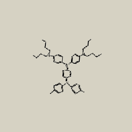 CCCCN(CCCC)c1ccc([N+](=C2C=CC(=[N+](c3ccc(C)cc3)c3ccc(C)cc3)C=C2)c2ccc(N(CCCC)CCCC)cc2)cc1